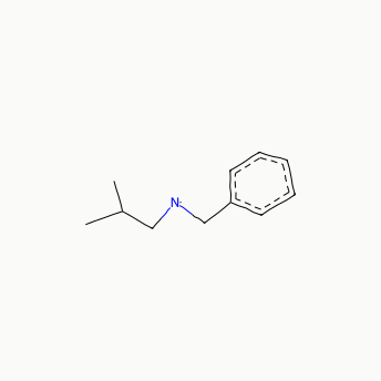 CC(C)C[N]Cc1ccccc1